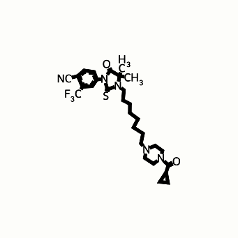 CC1(C)C(=O)N(c2ccc(C#N)c(C(F)(F)F)c2)C(=S)N1CCCCCCCCN1CCN(C(=O)C2CC2)CC1